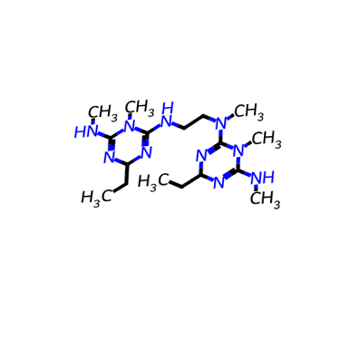 CCC1N=C(NC)N(C)C(NCCN(C)C2=NC(CC)N=C(NC)N2C)=N1